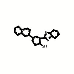 Sc1ccc(-c2ccc3ccccc3c2)cc1-c1nc2ccccc2s1